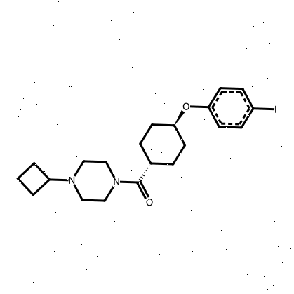 O=C([C@H]1CC[C@H](Oc2ccc(I)cc2)CC1)N1CCN(C2CCC2)CC1